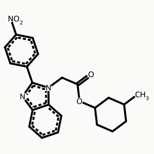 CC1CCCC(OC(=O)Cn2c(-c3ccc([N+](=O)[O-])cc3)nc3ccccc32)C1